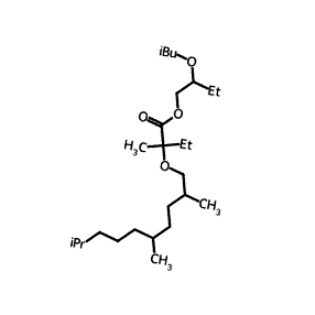 CCC(C)OC(CC)COC(=O)C(C)(CC)OCC(C)CCC(C)CCCC(C)C